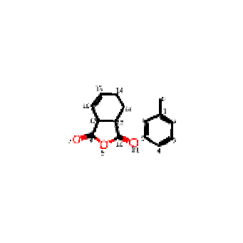 Cc1ccccc1.O=C1OC(=O)C2CCC=CC12